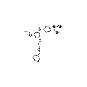 CCOc1cc([N]c2ccc(C(=N)NO)cc2)cc(OCCOCc2ccccc2)c1